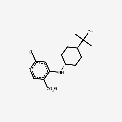 CCOC(=O)c1cnc(Cl)cc1N[C@H]1CC[C@H](C(C)(C)O)CC1